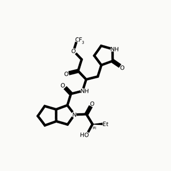 CC[C@@H](O)C(=O)N1CC2CCCC2C1C(=O)NC(CC1CCNC1=O)C(=O)COC(F)(F)F